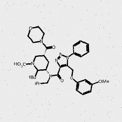 COc1cccc(OCc2c(C(=O)N(CC(C)C)[C@H]3C[C@@H](C(=O)N4CCOCC4)CN(C(=O)O)C3C(C)(C)C)nnn2-c2ccccc2)c1